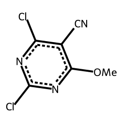 COc1nc(Cl)nc(Cl)c1C#N